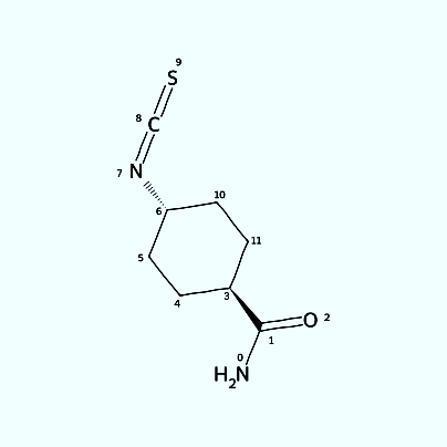 NC(=O)[C@H]1CC[C@H](N=C=S)CC1